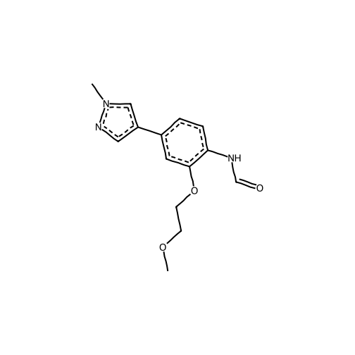 COCCOc1cc(-c2cnn(C)c2)ccc1NC=O